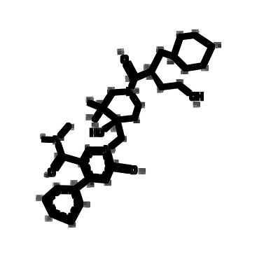 CN(C)C(=O)c1cn(C[C@@]2(O)CCN(C(=O)[C@H](CCO)CC3CCCCC3)CC2(C)C)c(=O)cc1-c1ccccc1